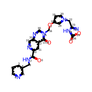 O=C(NCc1cccnc1)c1cc2c(=O)n(COc3ccn(Cc4noc(=O)[nH]4)c3)cnc2cn1